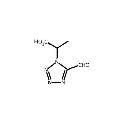 CC(C(=O)O)n1nnnc1C=O